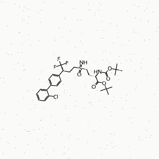 CC(C)(C)OC(=O)N[C@@H](CCS(=N)(=O)CCC(c1ccc(-c2ccccc2Cl)cc1)C(F)(F)F)C(=O)OC(C)(C)C